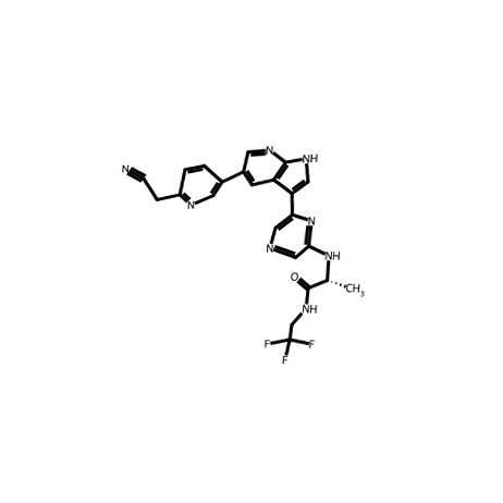 C[C@@H](Nc1cncc(-c2c[nH]c3ncc(-c4ccc(CC#N)nc4)cc23)n1)C(=O)NCC(F)(F)F